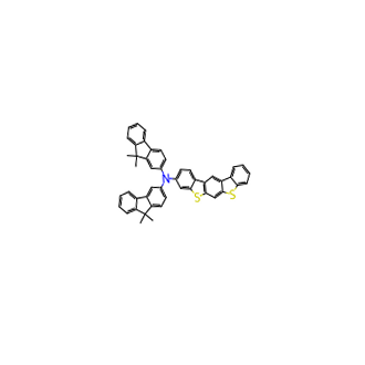 CC1(C)c2ccccc2-c2cc(N(c3ccc4c(c3)C(C)(C)c3ccccc3-4)c3ccc4c(c3)sc3cc5sc6ccccc6c5cc34)ccc21